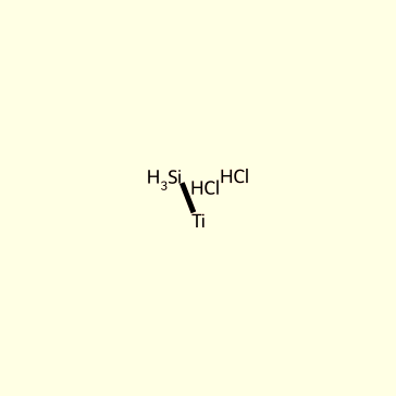 Cl.Cl.[SiH3][Ti]